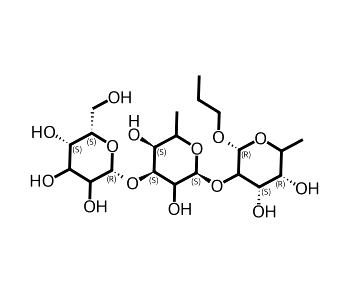 CCCO[C@@H]1OC(C)[C@H](O)[C@H](O)C1O[C@@H]1OC(C)[C@H](O)[C@H](O[C@H]2O[C@@H](CO)[C@@H](O)C(O)C2O)C1O